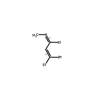 CC/C(=C/C(CC)=N\C)C(C)C